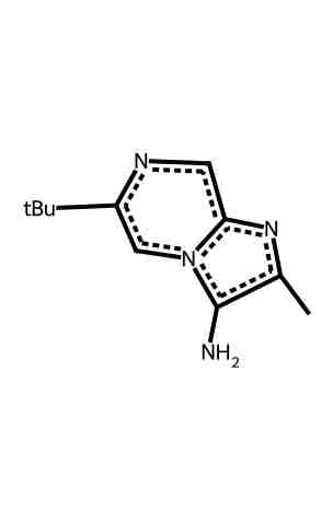 Cc1nc2cnc(C(C)(C)C)cn2c1N